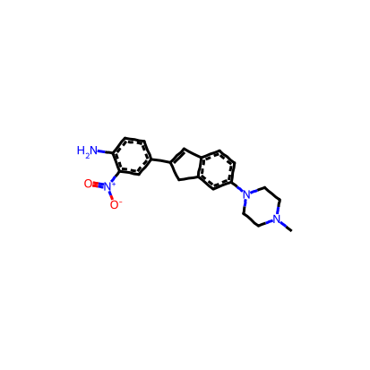 CN1CCN(c2ccc3c(c2)CC(c2ccc(N)c([N+](=O)[O-])c2)=C3)CC1